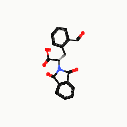 O=Cc1ccccc1C[C@@H](C(=O)O)N1C(=O)c2ccccc2C1=O